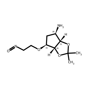 CC1(C)O[C@@H]2[C@H](O1)[C@@H](OCCN=O)C[C@H]2N